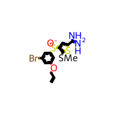 C=CCOc1cc(Br)cc([S+]([O-])c2cc(C(=N)N)sc2SC)c1